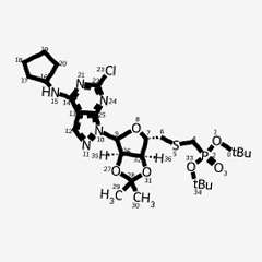 CC(C)(C)OP(=O)(CSC[C@H]1OC(n2ncc3c(NC4CCCC4)nc(Cl)nc32)[C@@H]2OC(C)(C)O[C@H]12)OC(C)(C)C